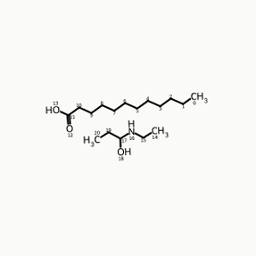 CCCCCCCCCCCC(=O)O.CCNC(O)CC